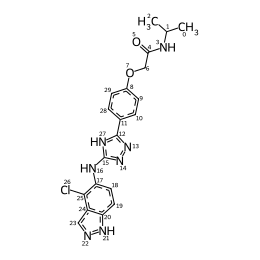 CC(C)NC(=O)COc1ccc(-c2nnc(Nc3ccc4[nH]ncc4c3Cl)[nH]2)cc1